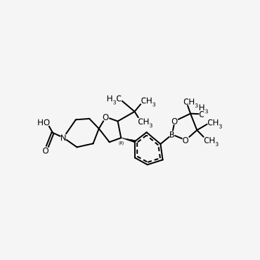 CC(C)(C)C1OC2(CCN(C(=O)O)CC2)C[C@@H]1c1cccc(B2OC(C)(C)C(C)(C)O2)c1